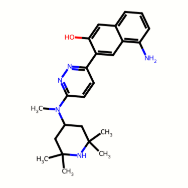 CN(c1ccc(-c2cc3c(N)cccc3cc2O)nn1)C1CC(C)(C)NC(C)(C)C1